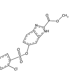 COC(=O)c1nc2ccc(OS(=O)(=O)c3ccccc3Cl)cc2[nH]1